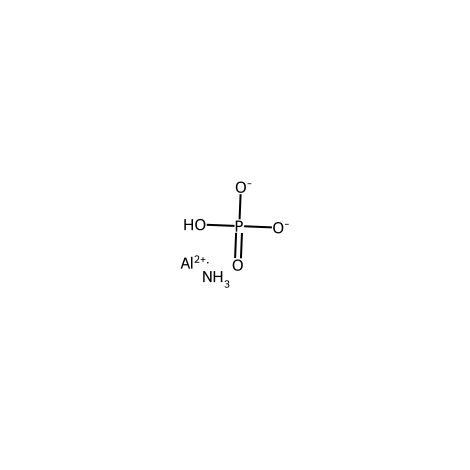 N.O=P([O-])([O-])O.[Al+2]